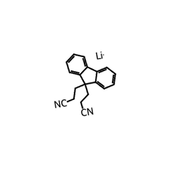 N#CCCC1(CCC#N)c2ccccc2-c2ccccc21.[Li]